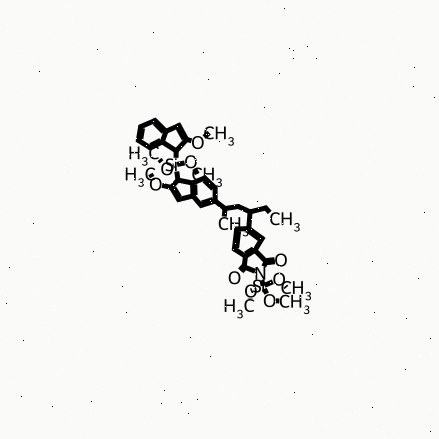 CCC(CC(C)c1ccc2c(c1)C=C(OC)C2[Si](OC)(OC)C1C(OC)=Cc2ccccc21)c1ccc2c(c1)C(=O)N([Si](OC)(OC)OC)C2=O